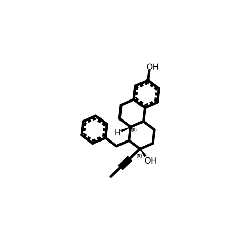 CC#C[C@@]1(O)CCC2c3ccc(O)cc3CC[C@H]2C1Cc1ccccc1